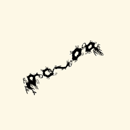 FC(F)(F)c1ccc(COC2CCN(CCCOc3ccc(Oc4ccc(C(F)(F)F)cc4)cc3)CC2)cc1